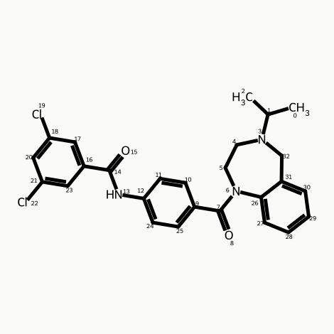 CC(C)N1CCN(C(=O)c2ccc(NC(=O)c3cc(Cl)cc(Cl)c3)cc2)c2ccccc2C1